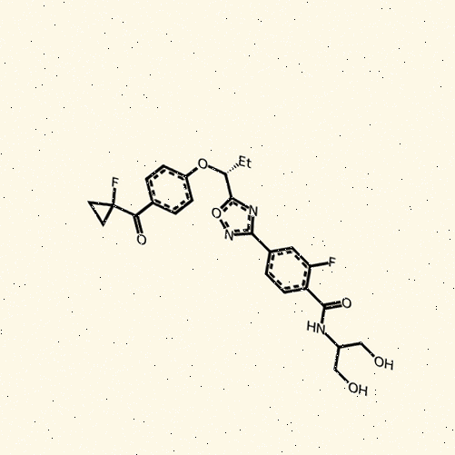 CC[C@@H](Oc1ccc(C(=O)C2(F)CC2)cc1)c1nc(-c2ccc(C(=O)NC(CO)CO)c(F)c2)no1